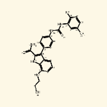 NC(=O)c1[nH]c2c(NCCO)cccc2c1-c1ccc(NC(=O)Nc2cc(C(F)(F)F)ccc2F)cc1